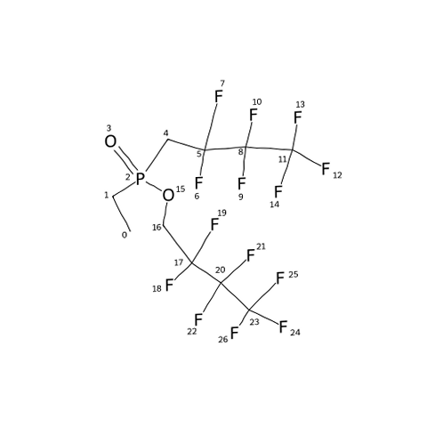 CCP(=O)(CC(F)(F)C(F)(F)C(F)(F)F)OCC(F)(F)C(F)(F)C(F)(F)F